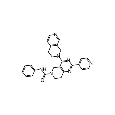 O=C(Nc1ccccc1)N1CCc2nc(-c3ccncc3)nc(N3CCc4ccncc4C3)c2C1